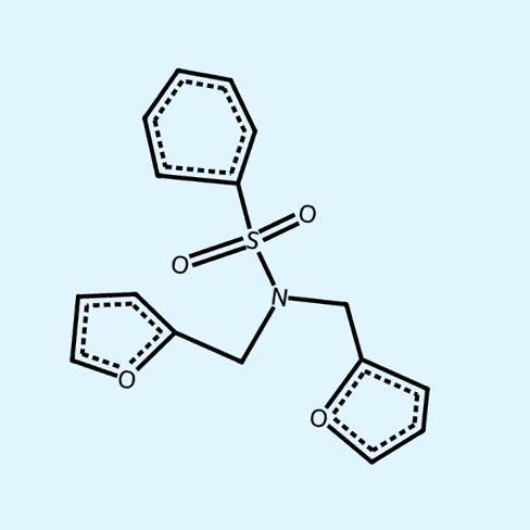 O=S(=O)(c1ccccc1)N(Cc1ccco1)Cc1ccco1